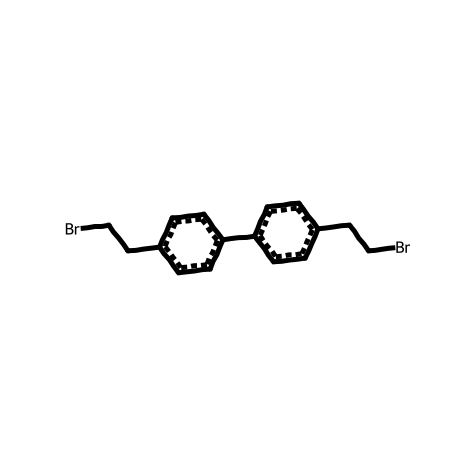 BrCCc1ccc(-c2ccc(CCBr)cc2)cc1